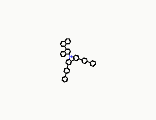 c1ccc(-c2ccc(-c3ccc4c(c3)c3cc(-c5ccc(-c6ccccc6)cc5)ccc3n4-c3ccc(-c4cccc5ccccc45)c4ccccc34)cc2)cc1